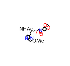 COc1ccc2nccc(CC[C@@H](CC[C@@H]3CN(c4ccc5c(c4)OCCO5)C(=O)O3)NC(C)=O)c2n1